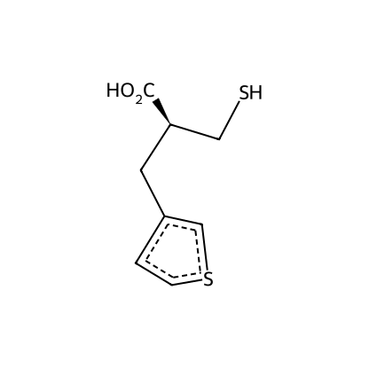 O=C(O)[C@@H](CS)Cc1ccsc1